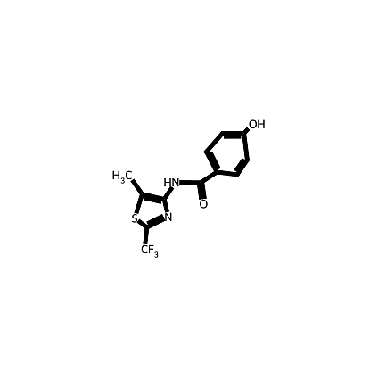 Cc1sc(C(F)(F)F)nc1NC(=O)c1ccc(O)cc1